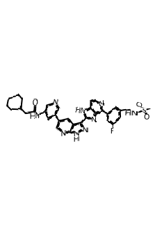 CS(=O)(=O)NCc1cc(F)cc(-c2nccc3[nH]c(-c4n[nH]c5ncc(-c6cncc(NC(=O)CC7CCCCC7)c6)cc45)nc23)c1